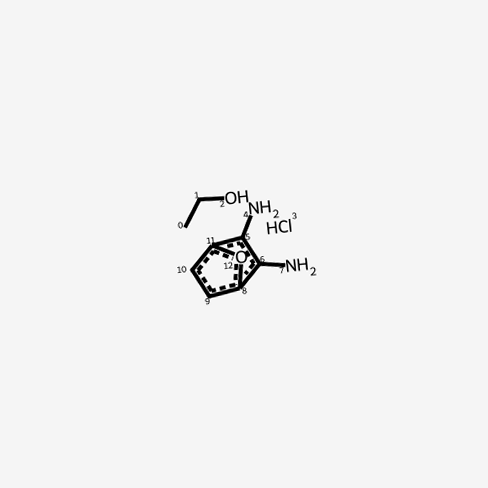 CCO.Cl.Nc1c(N)c2ccc1o2